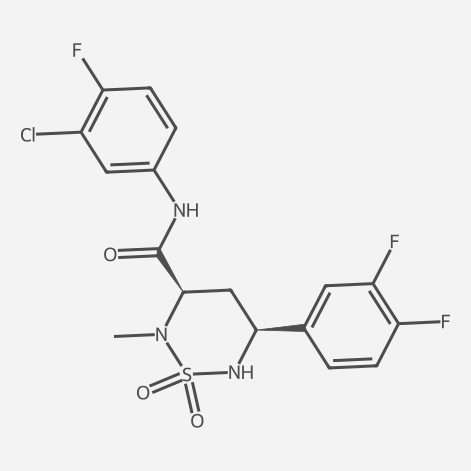 CN1[C@@H](C(=O)Nc2ccc(F)c(Cl)c2)C[C@@H](c2ccc(F)c(F)c2)NS1(=O)=O